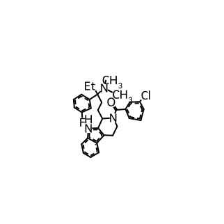 CCC(CCC1c2[nH]c3ccccc3c2CCN1C(=O)c1cccc(Cl)c1)(c1cccc(F)c1)N(C)C